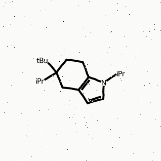 CC(C)n1ccc2c1CCC(C(C)C)(C(C)(C)C)C2